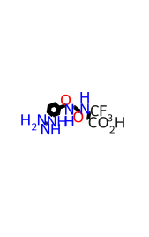 N=C(N)Nc1cccc(C(=O)NCC(=O)NC(CC(=O)O)C(F)(F)F)c1